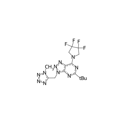 Cn1nnnc1Cn1nnc2c(N3CC(F)(F)C(F)(F)C3)nc(C(C)(C)C)nc21